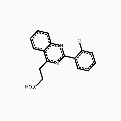 O=C(O)CCc1nc(-c2ccccc2Cl)nc2ccccc12